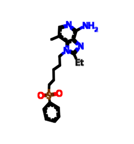 CCc1nc2c(N)ncc(C)c2n1CCCCCS(=O)(=O)c1ccccc1